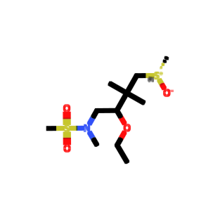 CCOC(CN(C)S(C)(=O)=O)C(C)(C)C[S@+](C)[O-]